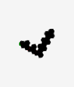 [Cl][Rh].[Rh].c1ccc(P(c2ccccc2)c2ccccc2)cc1.c1ccc(P(c2ccccc2)c2ccccc2)cc1.c1ccc(P(c2ccccc2)c2ccccc2)cc1.c1ccc(P(c2ccccc2)c2ccccc2)cc1.c1ccc(P(c2ccccc2)c2ccccc2)cc1.c1ccc(P(c2ccccc2)c2ccccc2)cc1